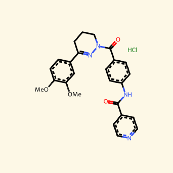 COc1ccc(C2=NN(C(=O)c3ccc(NC(=O)c4ccncc4)cc3)CCC2)cc1OC.Cl